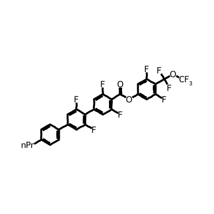 CCCc1ccc(-c2cc(F)c(-c3cc(F)c(C(=O)Oc4cc(F)c(C(F)(F)OC(F)(F)F)c(F)c4)c(F)c3)c(F)c2)cc1